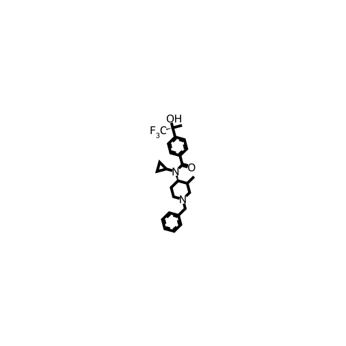 CC1CN(Cc2ccccc2)CC[C@H]1N(C(=O)c1ccc([C@](C)(O)C(F)(F)F)cc1)C1CC1